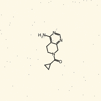 Nc1ncnc2c1CCN(C(=O)C1CC1)C2